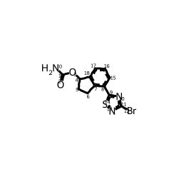 NC(=O)OC1CCc2c(-c3nc(Br)ns3)cccc21